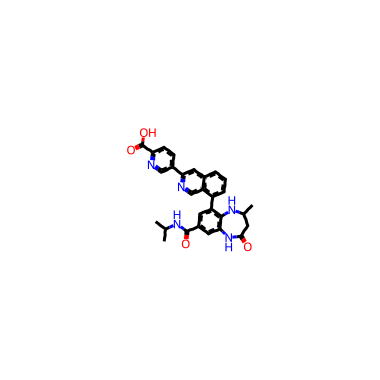 CC(C)NC(=O)c1cc2c(c(-c3cccc4cc(-c5ccc(C(=O)O)nc5)ncc34)c1)NC(C)CC(=O)N2